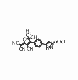 CCCCCCCCn1cc(-c2ccc(C3=C(C#N)C(=C(C#N)C#N)OC3(C)C)cc2)nn1